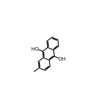 Cc1ccc2c(O)c3ccccc3c(O)c2c1